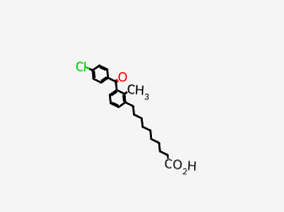 Cc1c(CCCCCCCCCC(=O)O)cccc1C(=O)c1ccc(Cl)cc1